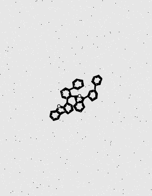 c1ccc(-c2cccc(-c3oc(-c4c(-c5ccccc5)cccc4-c4cccc5c4oc4ccccc45)c4ccccc34)c2)cc1